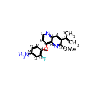 C=C(C)c1cc2nccc(Oc3ccc(N)cc3F)c2nc1OC